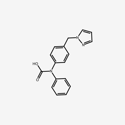 O=C(O)N(c1ccccc1)c1ccc(Cn2cccn2)cc1